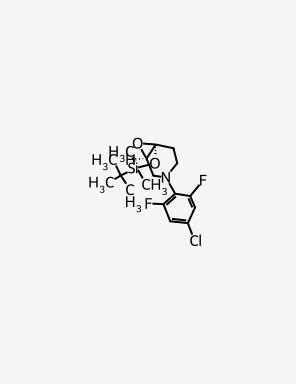 CC(C)(C)[Si](C)(C)O[C@]12CCN(c3c(F)cc(Cl)cc3F)C[C@H]1O2